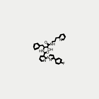 O=C(NC(Cc1ccccc1)C(O)C(=O)NCCCc1ccccn1)c1cccnc1-n1ccc(-c2ccc(F)cc2)n1